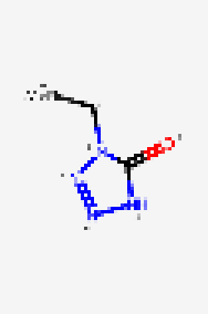 CNCn1nn[nH]c1=O